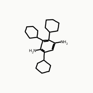 Nc1cc(C2CCCCC2)c(N)c(C2CCCCC2)c1C1CCCCC1